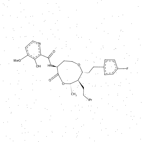 COc1ccnc(C(=O)N[C@H]2CCO[C@H](CCc3ccc(F)cc3)[C@@H](CCC(C)C)[C@H](C)OC2=O)c1O